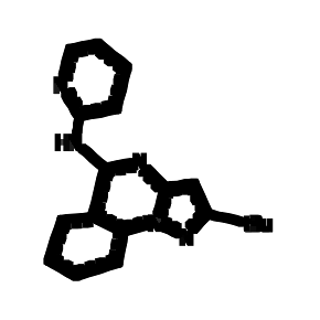 CC(C)(C)c1cc2nc(Nc3ccccn3)c3ccccc3n2n1